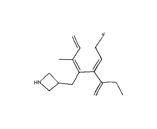 C=C/C(C)=C(CC1CNC1)\C(=C/CF)C(=C)CC